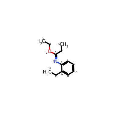 CCO/C(CC)=N/c1ccccc1CC